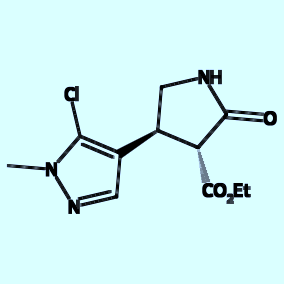 CCOC(=O)[C@H]1C(=O)NC[C@@H]1c1cnn(C)c1Cl